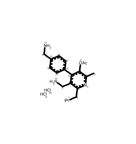 CC(=O)Oc1c(C)nc(CC(C)C)c(CN)c1-c1ccc(CN)cc1.Cl.Cl